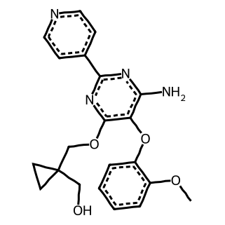 COc1ccccc1Oc1c(N)nc(-c2ccncc2)nc1OCC1(CO)CC1